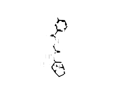 O=C(CNC(=O)c1cccc(C(F)(F)F)c1)NC1CC2CCC(C1)N2C(=O)O